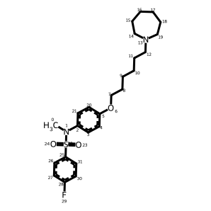 CN(c1ccc(OCCCCCCN2CCCCCC2)cc1)S(=O)(=O)c1ccc(F)cc1